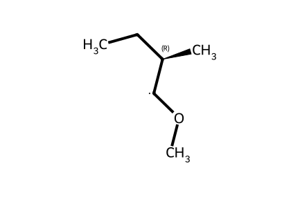 CC[C@@H](C)[CH]OC